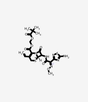 C=CC1=C(C(=O)OCOC(=O)C(C)(C)C)N2C(=O)C(NC(=O)/C(=N\OC)c3nsc(N)n3)[C@H]2SC1